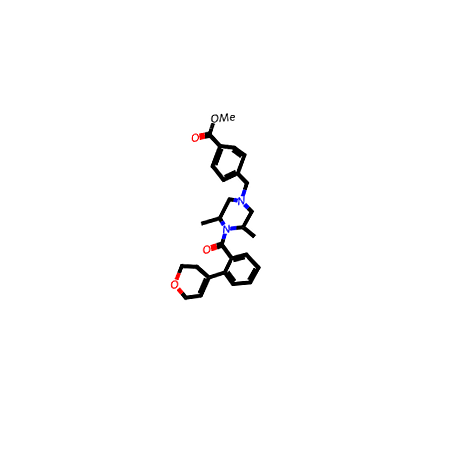 COC(=O)c1ccc(CN2CC(C)N(C(=O)c3ccccc3C3=CCOCC3)C(C)C2)cc1